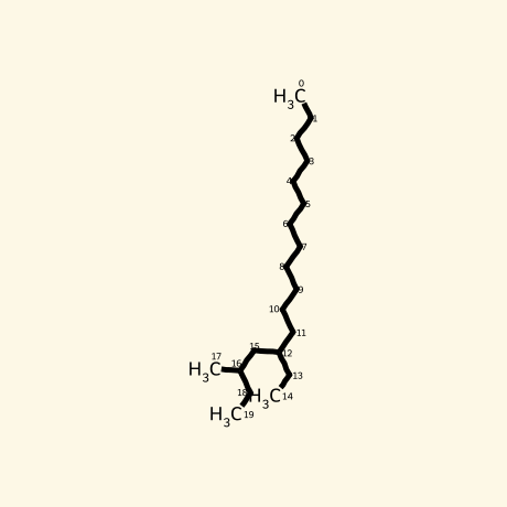 CCCCCCCCCCCCC(CC)C[C](C)CC